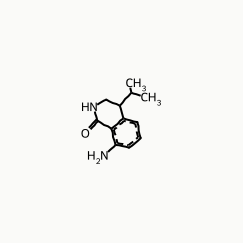 CC(C)C1CNC(=O)c2c(N)cccc21